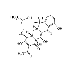 CC(O)C(=O)O.CN(C)[C@@H]1C(O)=C(C(N)=O)C(=O)[C@@]2(O)C(O)=C3C(=O)c4c(O)cccc4[C@@](C)(O)[C@H]3C[C@@H]12